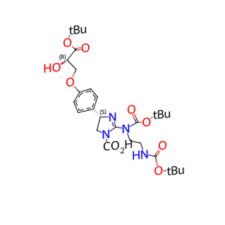 CC(C)(C)OC(=O)NCCN(C(=O)OC(C)(C)C)C1=N[C@@H](c2ccc(OC[C@@H](O)C(=O)OC(C)(C)C)cc2)CN1C(=O)O